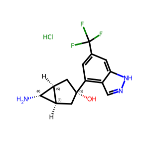 Cl.N[C@@H]1[C@H]2C[C@@](O)(c3cc(C(F)(F)F)cc4[nH]ncc34)C[C@@H]12